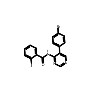 O=C(Nc1ncncc1-c1ccc(Br)cc1)c1ccccc1I